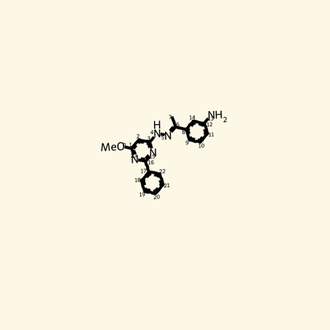 COc1cc(N/N=C(\C)c2cccc(N)c2)nc(-c2ccccc2)n1